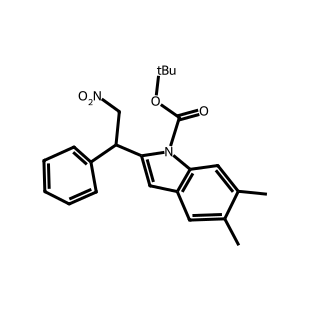 Cc1cc2cc(C(C[N+](=O)[O-])c3ccccc3)n(C(=O)OC(C)(C)C)c2cc1C